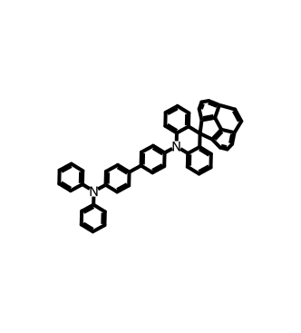 c1ccc(N(c2ccccc2)c2ccc(-c3ccc(N4c5ccccc5C5(c6ccccc64)c4cccc6ccc7cccc5c7c46)cc3)cc2)cc1